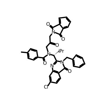 Cc1ccc(C(=O)N(CC(=O)CN2C(=O)c3ccccc3C2=O)[C@@H](c2nc3cc(Cl)ccc3c(=O)n2Cc2ccccc2)C(C)C)cc1